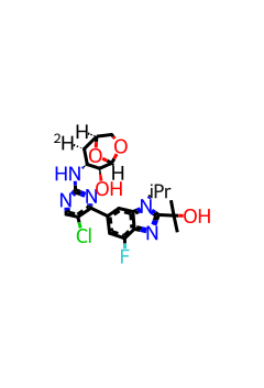 [2H][C@H]1[C@@H](Nc2ncc(Cl)c(-c3cc(F)c4nc(C(C)(C)O)n(C(C)C)c4c3)n2)[C@H](O)[C@@H]2OC[C@H]1O2